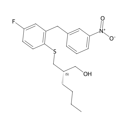 CCCC[C@@H](CO)CSc1ccc(F)cc1Cc1cccc([N+](=O)[O-])c1